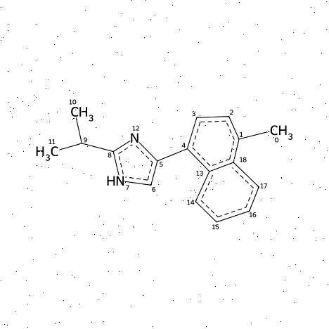 Cc1ccc(-c2c[nH]c(C(C)C)n2)c2ccccc12